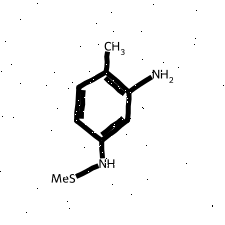 CSNc1ccc(C)c(N)c1